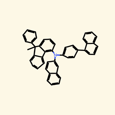 CC1(c2ccccc2)c2ccccc2-c2c(N(c3ccc(-c4cccc5ccccc45)cc3)c3ccc4ccccc4c3)cccc21